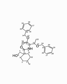 CC1CCC(CO)(C(=O)NC(C(=O)OCc2ccccc2)C(C)OCc2ccccc2)CC1